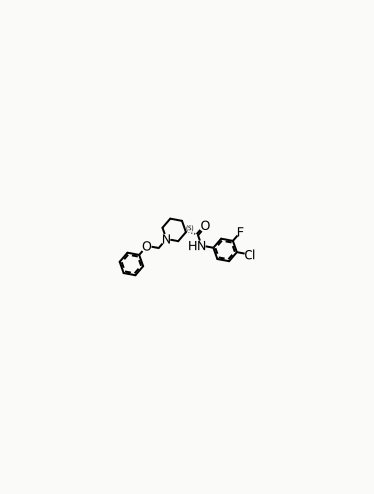 O=C(Nc1ccc(Cl)c(F)c1)[C@H]1CCCN(COc2ccccc2)C1